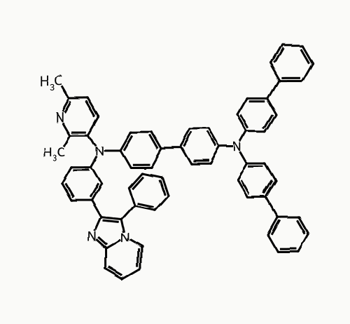 Cc1ccc(N(c2ccc(-c3ccc(N(c4ccc(-c5ccccc5)cc4)c4ccc(-c5ccccc5)cc4)cc3)cc2)c2cccc(-c3nc4ccccn4c3-c3ccccc3)c2)c(C)n1